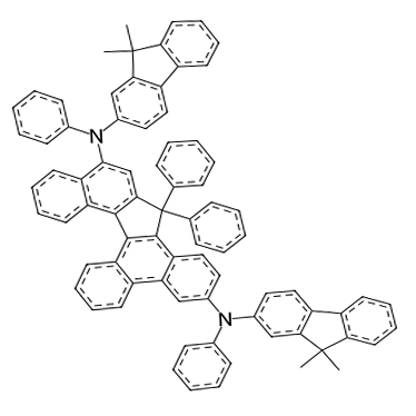 CC1(C)c2ccccc2-c2ccc(N(c3ccccc3)c3ccc4c5c(c6ccccc6c4c3)-c3c(cc(N(c4ccccc4)c4ccc6c(c4)C(C)(C)c4ccccc4-6)c4ccccc34)C5(c3ccccc3)c3ccccc3)cc21